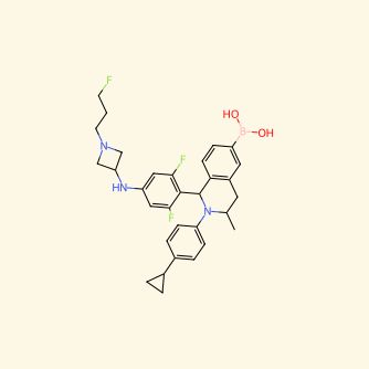 CC1Cc2cc(B(O)O)ccc2C(c2c(F)cc(NC3CN(CCCF)C3)cc2F)N1c1ccc(C2CC2)cc1